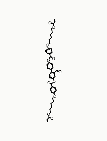 C=CC(=O)OCCCCCCOc1ccc(C(=O)Oc2ccc(-c3ccc(OC(=O)c4ccc(OCCCCCCOC(=O)C=C)cc4)cc3C=O)cc2)cc1